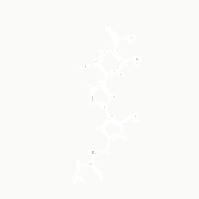 COC(=O)NCc1nc(C)c(-c2csc(-c3cc(O)c(C(=O)O)cc3F)c2)s1